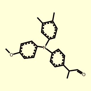 COc1ccc(N(c2ccc(C(C)C=O)cc2)c2ccc(C)c(C)c2)cc1